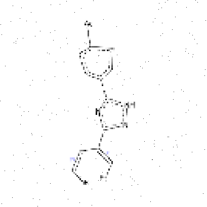 CC/C=C(\C=C/C(C)C)c1n[nH]c(-c2ccc(C(C)=O)cc2)n1